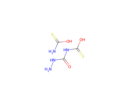 NC(O)=S.NNC(=O)NC(O)=S